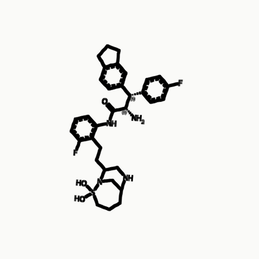 N[C@H](C(=O)Nc1cccc(F)c1CCC1CNC2CCCS(O)(O)N1C2)[C@@H](c1ccc(F)cc1)c1ccc2c(c1)CCC2